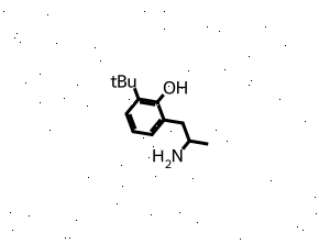 CC(N)Cc1cccc(C(C)(C)C)c1O